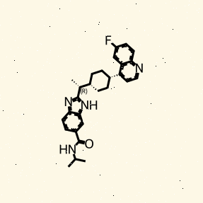 CC(C)NC(=O)c1ccc2nc([C@H](C)[C@H]3CC[C@@H](c4ccnc5ccc(F)cc54)CC3)[nH]c2c1